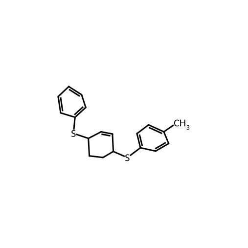 Cc1ccc(SC2C=CC(Sc3ccccc3)CC2)cc1